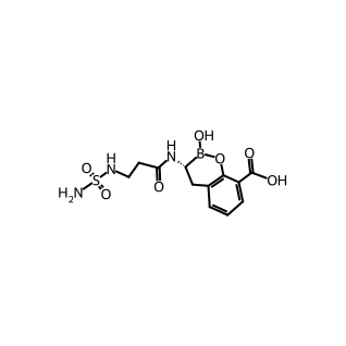 NS(=O)(=O)NCCC(=O)N[C@H]1Cc2cccc(C(=O)O)c2OB1O